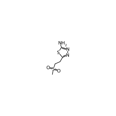 CS(=O)(=O)CCc1nnc(N)s1